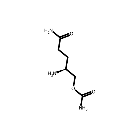 NC(=O)CC[C@H](N)COC(N)=O